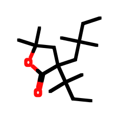 CCC(C)(C)CC1(C(C)(C)CC)CC(C)(C)OC1=O